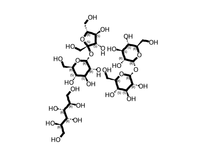 OC[C@@H](O)[C@@H](O)[C@H](O)[C@H](O)CO.OC[C@H]1O[C@@](CO)(O[C@H]2O[C@H](CO)[C@@H](O)[C@H](O)[C@H]2O)[C@@H](O)[C@@H]1O.OC[C@H]1O[C@H](O[C@H]2O[C@H](CO)[C@@H](O)[C@H](O)[C@H]2O)[C@H](O)[C@@H](O)[C@@H]1O